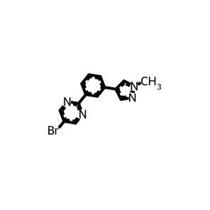 Cn1cc(-c2cccc(-c3ncc(Br)cn3)c2)cn1